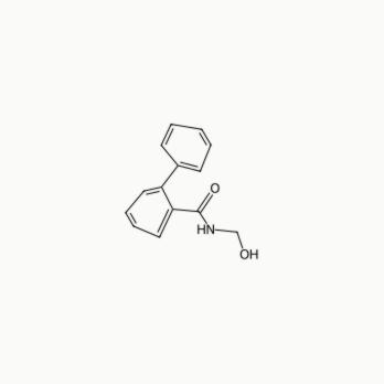 O=C(NCO)c1ccccc1-c1ccccc1